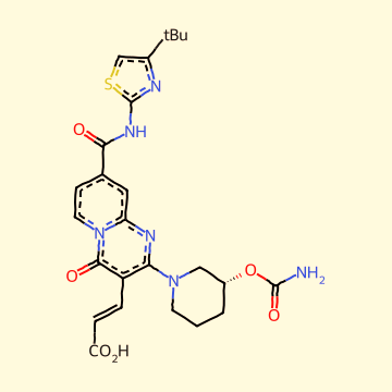 CC(C)(C)c1csc(NC(=O)c2ccn3c(=O)c(C=CC(=O)O)c(N4CCC[C@@H](OC(N)=O)C4)nc3c2)n1